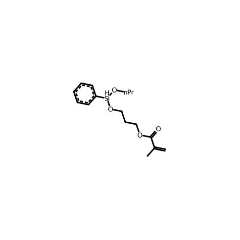 C=C(C)C(=O)OCCCO[SiH](OCCC)c1ccccc1